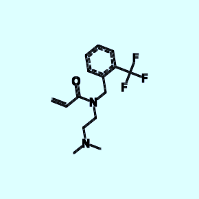 C=CC(=O)N(CCN(C)C)Cc1ccccc1C(F)(F)F